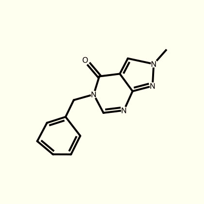 Cn1cc2c(=O)n(Cc3ccccc3)cnc2n1